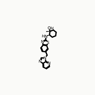 C[C@@]1(O)CCCC[C@H]1Nc1nc2ccc(Cn3cnc4cccnc43)cc2s1